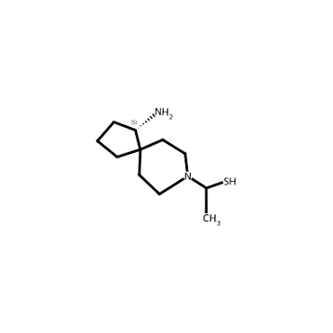 CC(S)N1CCC2(CCC[C@@H]2N)CC1